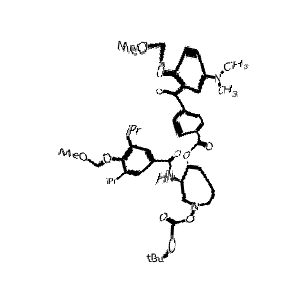 COCOc1ccc(N(C)C)cc1C(=O)c1ccc(C(=O)O[C@@H]2CCCN(OC(=O)OC(C)(C)C)C[C@H]2NC(=O)c2cc(C(C)C)c(OCOC)c(C(C)C)c2)cc1